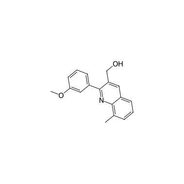 COc1cccc(-c2nc3c(C)cccc3cc2CO)c1